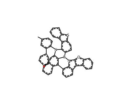 Cc1ccc(N2c3cc4ccccc4c4c3B(c3ccc5sc6ccccc6c5c32)n2c3oc5ccccc5c3c3cccc-4c32)c(-c2ccccc2)c1